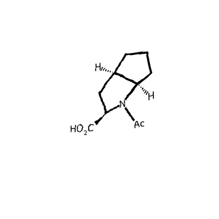 CC(=O)N1[C@@H](C(=O)O)C[C@H]2CCC[C@H]21